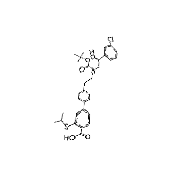 CC(C)Sc1cc(-c2ccc(CCN(C[C@@H](O)c3cccc(Cl)c3)C(=O)OC(C)(C)C)cc2)ccc1C(=O)O